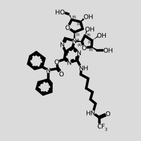 O=C(Oc1nc(NCCCCCCNC(=O)C(F)(F)F)nc2c1N=C[N+]2([C@@H]1C[C@H](O)[C@@H](CO)O1)[C@@H]1O[C@H](CO)[C@@H](O)[C@H]1O)N(c1ccccc1)c1ccccc1